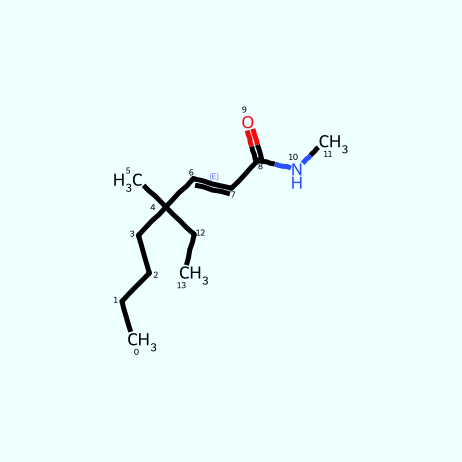 CCCCC(C)(/C=C/C(=O)NC)CC